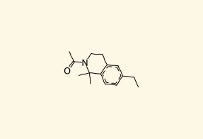 CCc1ccc2c(c1)CCN(C(C)=O)C2(C)C